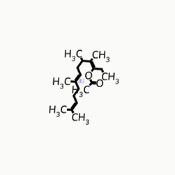 CCC(OC(C)=O)=C(C)C(C)C/C=C(\C)CCC=C(C)C